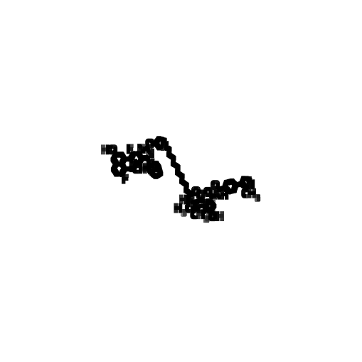 C#Cc1c(F)ccc2cc(O)cc(-c3ncc4c(N5CC6CCC(C5)N6)nc(OC5CCN(CCCCCCCCCCC(=O)NC(C(=O)N6C[C@H](O)C[C@H]6C(=O)NC(=O)c6ccc(C7=C(C)N=CC7)cc6)C(C)(C)C)C5)nc4c3F)c12